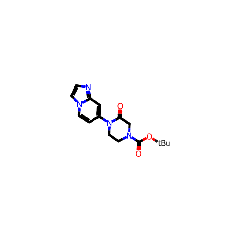 CC(C)(C)OC(=O)N1CCN(c2ccn3ccnc3c2)C(=O)C1